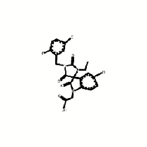 CCN1C(=O)N(Cc2cc(Cl)ccc2F)C(=O)C12C(=O)N(CC(=O)O)c1ccc(Cl)cc12